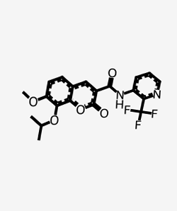 COc1ccc2cc(C(=O)Nc3cccnc3C(F)(F)F)c(=O)oc2c1OC(C)C